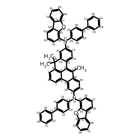 Cc1c2c3c(cccc3c3cc(N(c4ccc(-c5ccccc5)cc4)c4cccc5c4oc4ccccc45)ccc13)C(C)(C)c1cc(N(c3ccc(-c4ccccc4)cc3)c3cccc4c3oc3ccccc34)ccc1-2